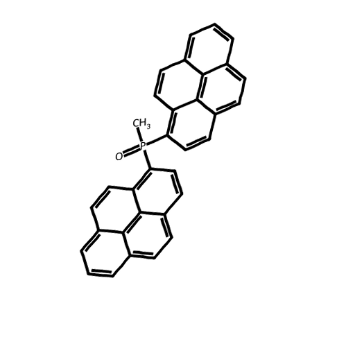 CP(=O)(c1ccc2ccc3cccc4ccc1c2c34)c1ccc2ccc3cccc4ccc1c2c34